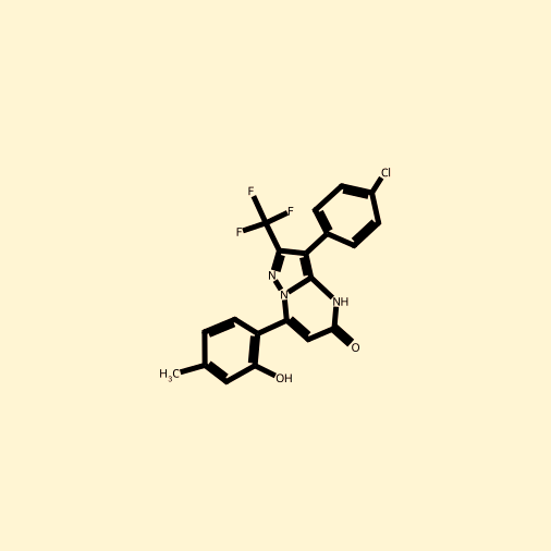 Cc1ccc(-c2cc(=O)[nH]c3c(-c4ccc(Cl)cc4)c(C(F)(F)F)nn23)c(O)c1